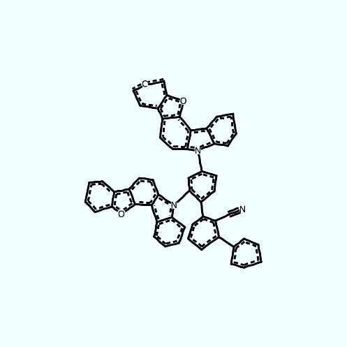 N#Cc1c(-c2ccccc2)cccc1-c1ccc(-n2c3ccccc3c3c4oc5ccccc5c4ccc32)cc1-n1c2ccccc2c2c3oc4ccccc4c3ccc21